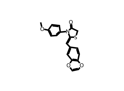 COc1ccc(N2C(=O)CSC2=Cc2ccc3c(c2)OC=CO3)cc1